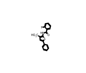 O=C(Nc1sc(-c2ccccc2)cc1C(=O)O)c1ccccc1F